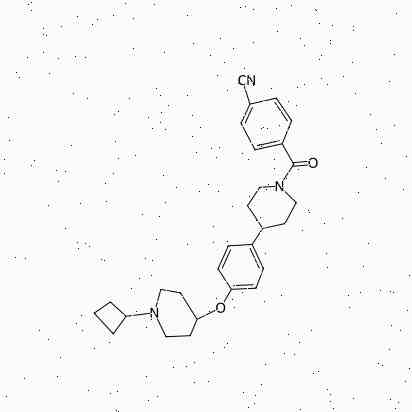 N#Cc1ccc(C(=O)N2CCC(c3ccc(OC4CCN(C5CCC5)CC4)cc3)CC2)cc1